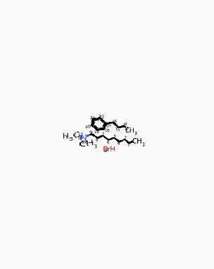 Br.CCCCCCCCCN(C)C.CCCCc1ccccc1